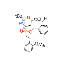 COc1ccccc1CCP(=O)(OCc1ccccc1)[C@H](CCC(=O)O)N[S@@+]([O-])C(C)(C)C